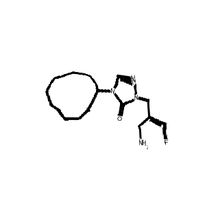 NC/C(=C\F)Cn1ncn(C2CCCCCCCC2)c1=O